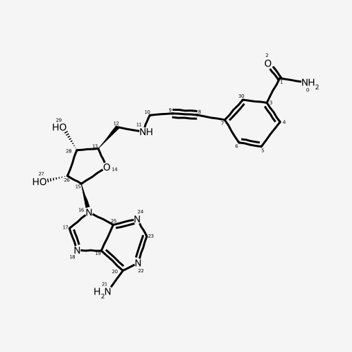 NC(=O)c1cccc(C#CCNC[C@H]2O[C@@H](n3cnc4c(N)ncnc43)[C@H](O)[C@@H]2O)c1